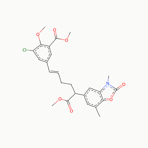 COC(=O)c1cc(/C=C/CCC(C(=O)OC)c2cc(C)c3oc(=O)n(C)c3c2)cc(Cl)c1OC